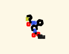 CC(C)(C)OC(=O)N1CCC(NC(=O)c2cccs2)C(c2ccccc2)C1